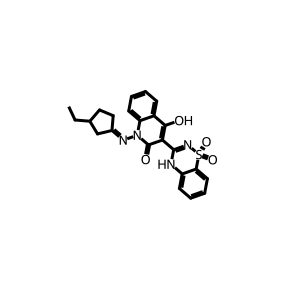 CCC1CC/C(=N\n2c(=O)c(C3=NS(=O)(=O)c4ccccc4N3)c(O)c3ccccc32)C1